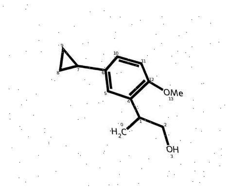 [CH2]C(CO)c1cc(C2CC2)ccc1OC